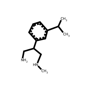 CNCC(CN)c1cccc(C(C)C)c1